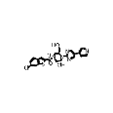 Cl.O=S(=O)(c1cc2ccc(Cl)cc2s1)N1CCN(c2ncc(-c3ccncc3)cn2)C(CO)C1